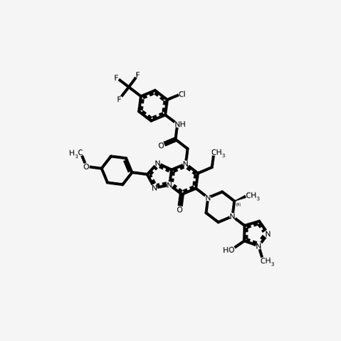 CCc1c(N2CCN(c3cnn(C)c3O)[C@H](C)C2)c(=O)n2nc(C3=CCC(OC)CC3)nc2n1CC(=O)Nc1ccc(C(F)(F)F)cc1Cl